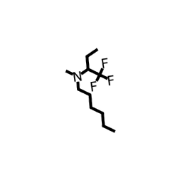 CCCCCCN(C)C(CC)C(F)(F)F